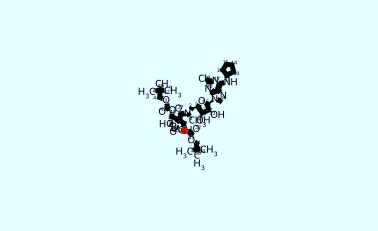 CN(C[C@H]1O[C@@H](n2cnc3c(NC4CCCC4)nc(Cl)nc32)[C@H](O)[C@@H]1O)C(=O)C(COC(=O)OCC(C)(C)C)(COC(=O)OCC(C)(C)C)P(=O)(O)O